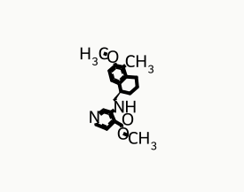 COC(=O)c1ccncc1NC[C@@H]1CCCc2c1ccc(OC)c2C